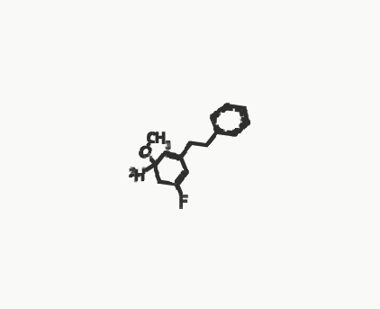 [2H]C1(OC)C=C(CCc2ccccc2)C=C(F)C1